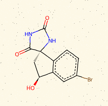 O=C1NC(=O)[C@@]2(C[C@H](O)c3cc(Br)ccc32)N1